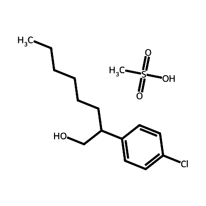 CCCCCCC(CO)c1ccc(Cl)cc1.CS(=O)(=O)O